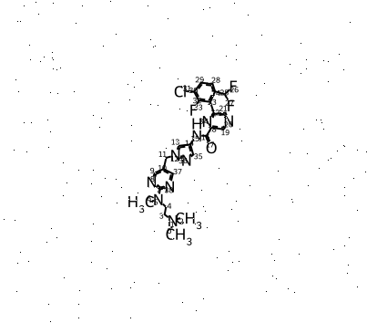 CN(C)CCN(C)c1ncc(Cn2cc(NC(=O)c3cncc(-c4c(C(F)F)ccc(Cl)c4F)n3)cn2)cn1